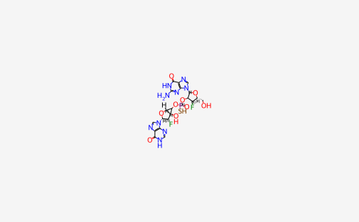 Nc1nc2c(ncn2[C@@H]2O[C@H](CO)[C@@H](F)C2O[P@](=O)(S)OC2[C@H]3O[C@@H](n4cnc5c(=O)[nH]cnc54)[C@@H](F)[C@@]23O)c(=O)[nH]1